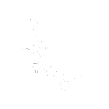 CC(C)CSc1ccccc1Oc1ccc(-c2noc(CN3C(=O)N(CCN4CCOCC4)C(C)(C)C3=O)n2)cc1Cl